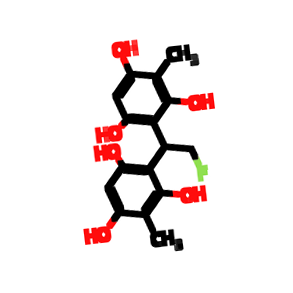 Cc1c(O)cc(O)c(C(CF)c2c(O)cc(O)c(C)c2O)c1O